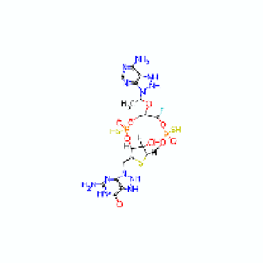 C[C@@H](O[C@@H]1COP(=O)(S)O[C@@H]2[C@H](O)[C@@H](COP(=O)(S)OC1F)S[C@H]2CN1NNc2c1nc(N)[nH]c2=O)N1NNc2c(N)ncnc21